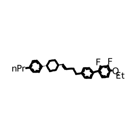 CCCc1ccc([C@H]2CC[C@H](C=CCCc3ccc(-c4ccc(OCC)c(F)c4F)cc3)CC2)cc1